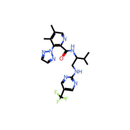 Cc1cnc(C(=O)NC(CNc2ncc(C(F)(F)F)cn2)C(C)C)c(-n2nccn2)c1C